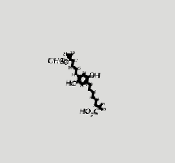 CC(C)(CCCCCCc1cc(O)c(CCCCC2(OC=O)CC2)cc1O)C(=O)O